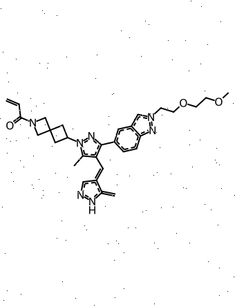 C=CC(=O)N1CC2(CC(n3nc(-c4ccc5nn(CCOCCOC)cc5c4)c(/C=c4\cn[nH]c4=C)c3C)C2)C1